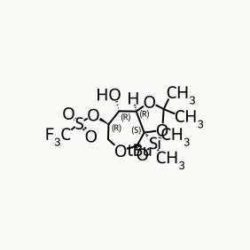 CC1(C)O[C@@H]2[C@@H](O)[C@H](OS(=O)(=O)C(F)(F)F)COC(=O)[C@]2([Si](C)(C)C(C)(C)C)O1